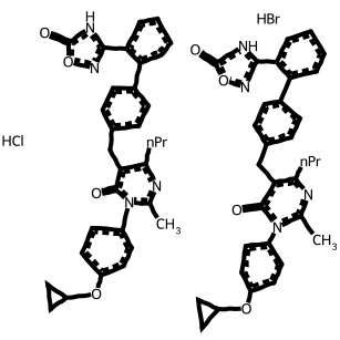 Br.CCCc1nc(C)n(-c2ccc(OC3CC3)cc2)c(=O)c1Cc1ccc(-c2ccccc2-c2noc(=O)[nH]2)cc1.CCCc1nc(C)n(-c2ccc(OC3CC3)cc2)c(=O)c1Cc1ccc(-c2ccccc2-c2noc(=O)[nH]2)cc1.Cl